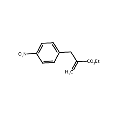 C=C(Cc1ccc([N+](=O)[O-])cc1)C(=O)OCC